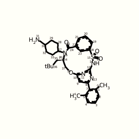 Cc1cccc(C)c1-c1cc2nc(n1)NS(=O)(=O)c1cccc(c1)C(=O)N(C1CCC(N)CC1)[C@H](CC(C)(C)C)CO2